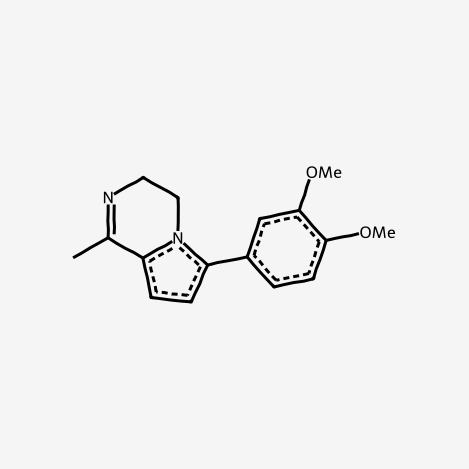 COc1ccc(-c2ccc3n2CCN=C3C)cc1OC